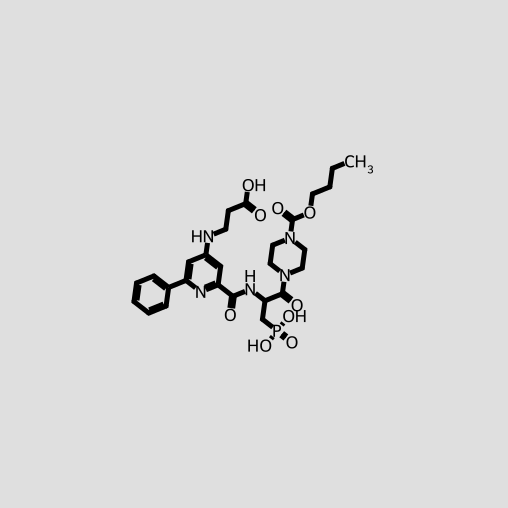 CCCCOC(=O)N1CCN(C(=O)C(CP(=O)(O)O)NC(=O)c2cc(NCCC(=O)O)cc(-c3ccccc3)n2)CC1